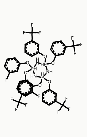 Fc1cccc(O[PH]2(Oc3cccc(F)c3)N[PH](Oc3cccc(C(F)(F)F)c3)(Oc3cccc(C(F)(F)F)c3)N[PH](Oc3cccc(C(F)(F)F)c3)(Oc3cccc(C(F)(F)F)c3)N2)c1